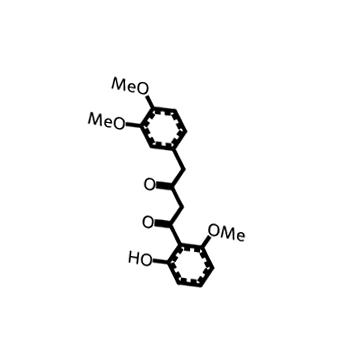 COc1ccc(CC(=O)CC(=O)c2c(O)cccc2OC)cc1OC